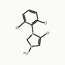 CN1C=C(Cl)N(c2c(Cl)cccc2Cl)C1